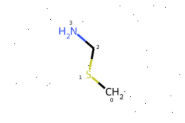 [CH2]SCN